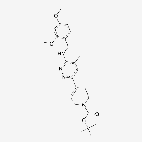 COc1ccc(CNc2nnc(C3=CCN(C(=O)OC(C)(C)C)CC3)cc2C)c(OC)c1